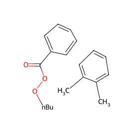 CCCCOOC(=O)c1ccccc1.Cc1ccccc1C